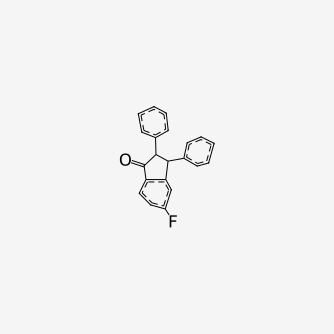 O=C1c2ccc(F)cc2C(c2ccccc2)C1c1ccccc1